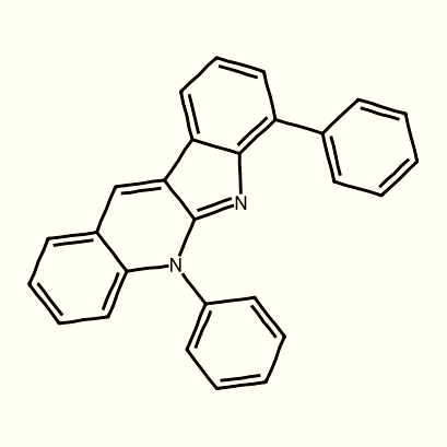 c1ccc(-c2cccc3c4cc5ccccc5n(-c5ccccc5)c-4nc23)cc1